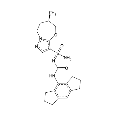 C[C@@H]1CCn2ncc(S(N)(=O)=NC(=O)Nc3c4c(cc5c3CCC5)CCC4)c2OC1